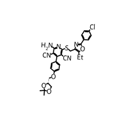 [C-]#[N+]c1c(N)nc(SCc2nc(-c3ccc(Cl)cc3)oc2CC)c(C#N)c1-c1ccc(OC[C@@H]2COC(C)(C)O2)cc1